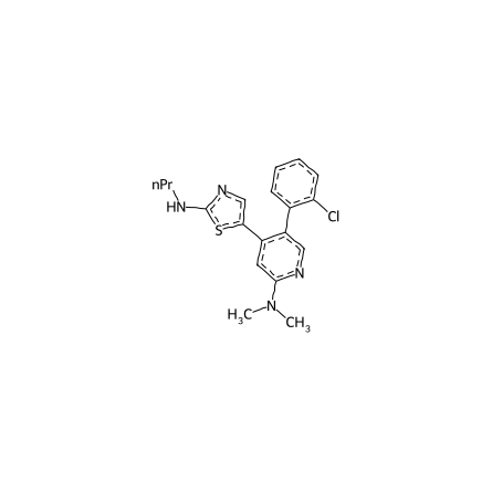 CCCNc1ncc(-c2cc(N(C)C)ncc2-c2ccccc2Cl)s1